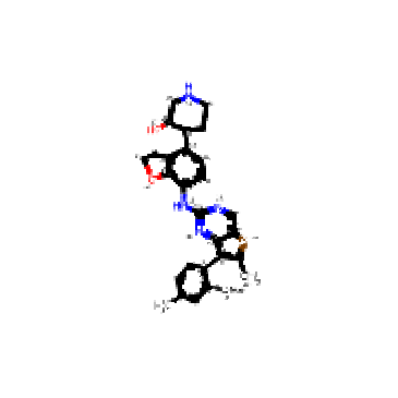 COc1cc(C)ccc1-c1c(C)sc2cnc(Nc3ccc(C4CCNCC4O)c4c3OCC4)nc12